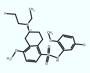 CCN(CCF)[C@H]1CCc2c(S(=O)(=O)Nc3cc(Cl)ccc3OC)ccc(OC)c2C1